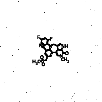 Cn1cc2c3c(c[nH]c3c1=O)CN(c1ccc(F)cc1F)c1c(C#N)cc(CS(C)(=O)=O)cc1-2